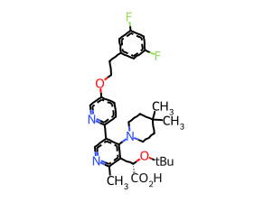 Cc1ncc(-c2ccc(OCCc3cc(F)cc(F)c3)cn2)c(N2CCC(C)(C)CC2)c1[C@H](OC(C)(C)C)C(=O)O